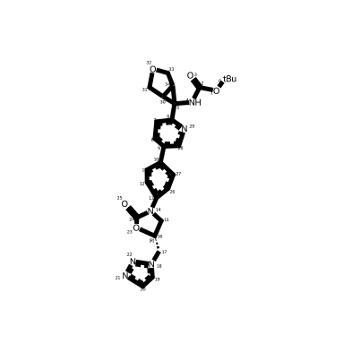 CC(C)(C)OC(=O)NC1(c2ccc(-c3ccc(N4C[C@H](Cn5ccnn5)OC4=O)cc3)cn2)C2COCC21